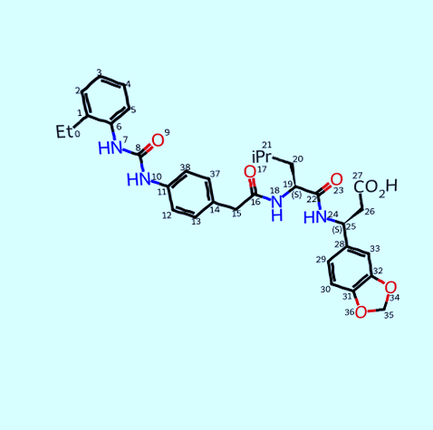 CCc1ccccc1NC(=O)Nc1ccc(CC(=O)N[C@@H](CC(C)C)C(=O)N[C@@H](CC(=O)O)c2ccc3c(c2)OCO3)cc1